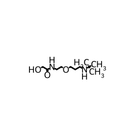 CC(C)(C)NCCCOCCNC(=O)CO